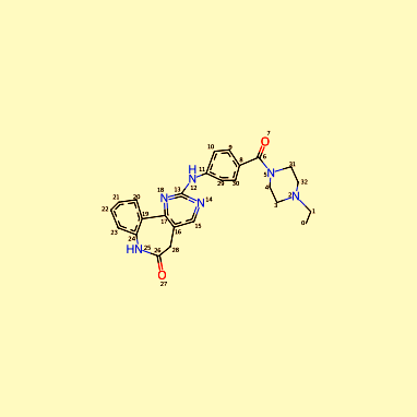 CCN1CCN(C(=O)c2ccc(Nc3ncc4c(n3)-c3ccccc3NC(=O)C4)cc2)CC1